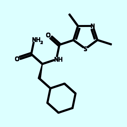 Cc1nc(C)c(C(=O)N[C@@H](CC2CCCCC2)C(N)=O)s1